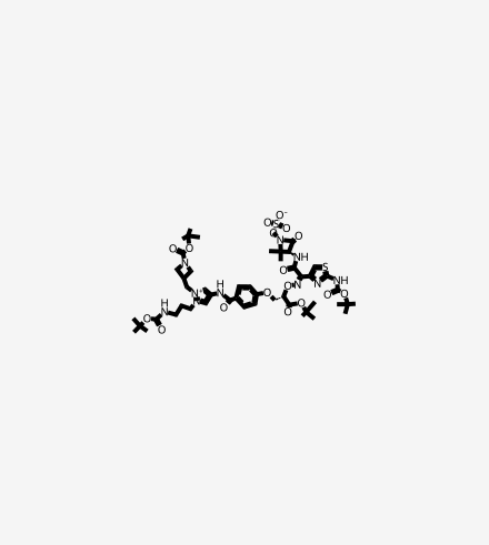 CC(C)(C)OC(=O)NCCCn1cc(NC(=O)c2ccc(OC[C@H](O/N=C(\C(=O)N[C@@H]3C(=O)N(OS(=O)(=O)[O-])C3(C)C)c3csc(NC(=O)OC(C)(C)C)n3)C(=O)OC(C)(C)C)cc2)c[n+]1CC1CN(C(=O)OC(C)(C)C)C1